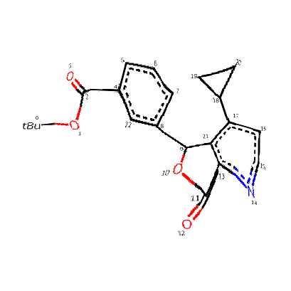 CC(C)(C)OC(=O)c1cccc(C2OC(=O)c3nccc(C4CC4)c32)c1